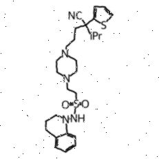 CC(C)C(C#N)(CCCN1CCN(CCS(=O)(=O)NN2CCCc3ccccc32)CC1)c1cccs1